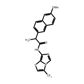 COc1ccc2cc(C(C)C(=O)Nc3ncn4c(C(F)(F)F)csc34)ccc2c1